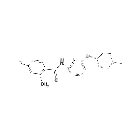 Bc1cc(F)ccc1C(=O)Nc1cccc(OC2CCN(C)CC2)n1